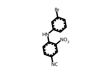 [C-]#[N+]c1ccc(Nc2cccc(Br)c2)c([N+](=O)[O-])c1